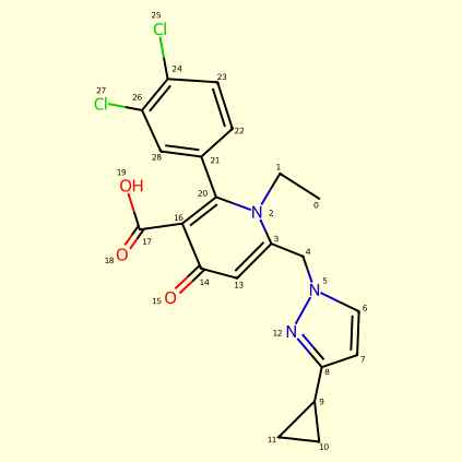 CCn1c(Cn2ccc(C3CC3)n2)cc(=O)c(C(=O)O)c1-c1ccc(Cl)c(Cl)c1